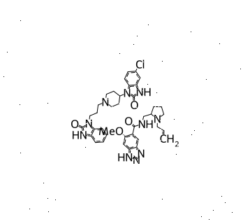 C=CCN1CCCC1CNC(=O)c1cc2nn[nH]c2cc1OC.O=c1[nH]c2ccccc2n1CCCN1CCC(n2c(=O)[nH]c3cc(Cl)ccc32)CC1